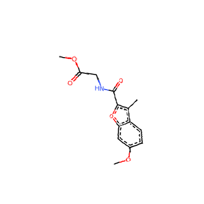 COC(=O)CNC(=O)c1oc2cc(OC)ccc2c1C